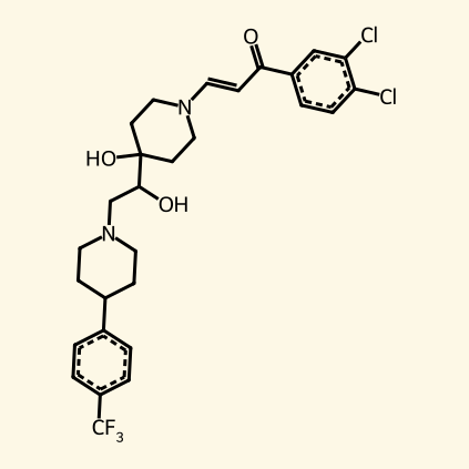 O=C(C=CN1CCC(O)(C(O)CN2CCC(c3ccc(C(F)(F)F)cc3)CC2)CC1)c1ccc(Cl)c(Cl)c1